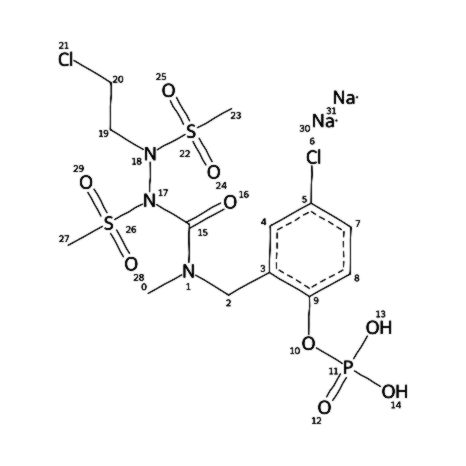 CN(Cc1cc(Cl)ccc1OP(=O)(O)O)C(=O)N(N(CCCl)S(C)(=O)=O)S(C)(=O)=O.[Na].[Na]